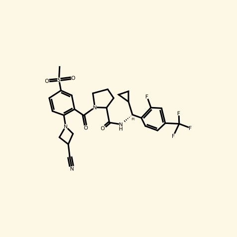 CS(=O)(=O)c1ccc(N2CC(C#N)C2)c(C(=O)N2CCCC2C(=O)N[C@@H](c2ccc(C(F)(F)F)cc2F)C2CC2)c1